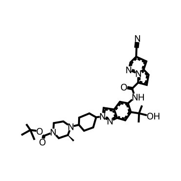 C[C@H]1CN(C(=O)OC(C)(C)C)CCN1C1CCC(n2cc3cc(NC(=O)c4ccc5cc(C#N)cnn45)c(C(C)(C)O)cc3n2)CC1